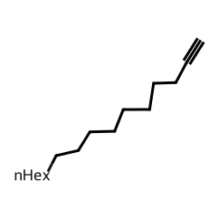 C#CCCCCCCCCCCCCCC